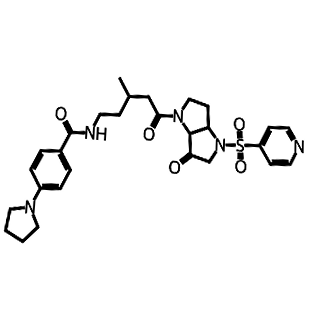 CC(CCNC(=O)c1ccc(N2CCCC2)cc1)CC(=O)N1CCC2C1C(=O)CN2S(=O)(=O)c1ccncc1